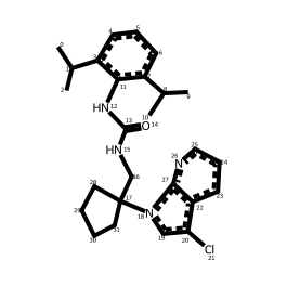 CC(C)c1cccc(C(C)C)c1NC(=O)NCC1(n2cc(Cl)c3cccnc32)CCCC1